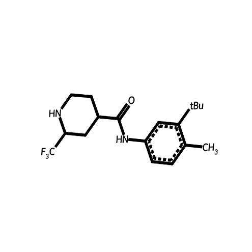 Cc1ccc(NC(=O)C2CCNC(C(F)(F)F)C2)cc1C(C)(C)C